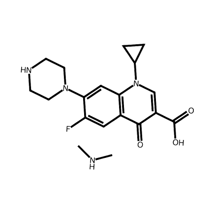 CNC.O=C(O)c1cn(C2CC2)c2cc(N3CCNCC3)c(F)cc2c1=O